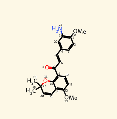 COc1ccc(/C=C/C(=O)c2ccc(OC)c3c2OC(C)(C)C=C3)cc1N